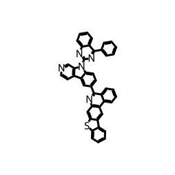 c1ccc(-c2nc(-n3c4ccc(-c5nc6cc7sc8ccccc8c7cc6c6ccccc56)cc4c4ccncc43)nc3ccccc23)cc1